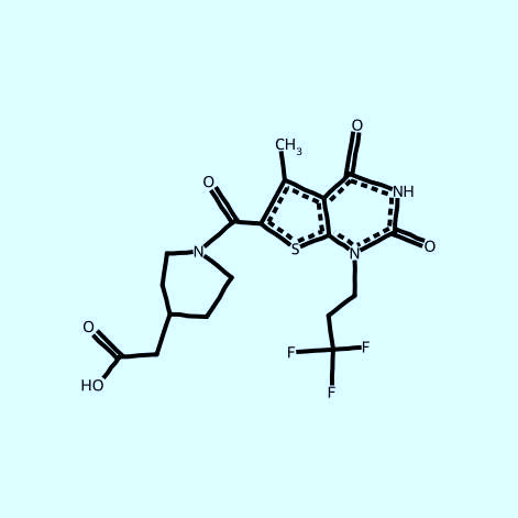 Cc1c(C(=O)N2CCC(CC(=O)O)CC2)sc2c1c(=O)[nH]c(=O)n2CCC(F)(F)F